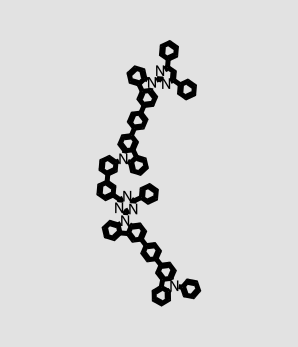 c1ccc(-c2cc(-c3ccccc3)nc(-n3c4ccccc4c4cc(-c5ccc(-c6ccc7c(c6)c6ccccc6n7-c6cccc(-c7cccc(-c8nc(-c9ccccc9)nc(-n9c%10ccccc%10c%10cc(-c%11ccc(-c%12ccc%13c(c%12)c%12ccccc%12n%13-c%12ccccc%12)cc%11)ccc%109)n8)c7)c6)cc5)ccc43)n2)cc1